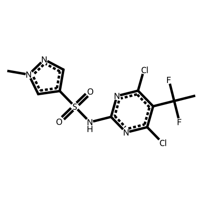 Cn1cc(S(=O)(=O)Nc2nc(Cl)c(C(C)(F)F)c(Cl)n2)cn1